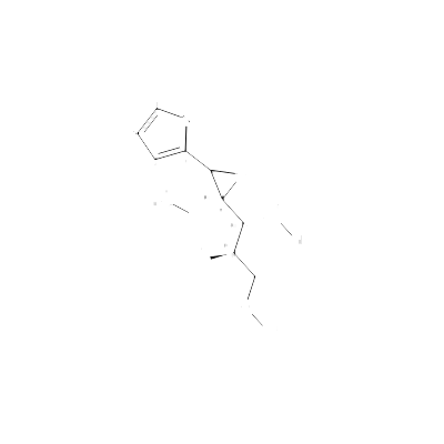 CCCCOC[C@@H](O)[C@@H](OCCCC)[C@]1(OCCCC)OC1c1ccc[nH]1